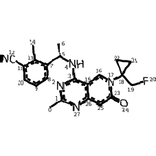 Cc1nc(N[C@H](C)c2cccc(C#N)c2C)c2cn(C3(CF)CC3)c(=O)cc2n1